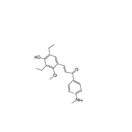 CCc1cc(C=CC(=O)c2ccc(NC)cc2)c(OC)c(CC)c1O